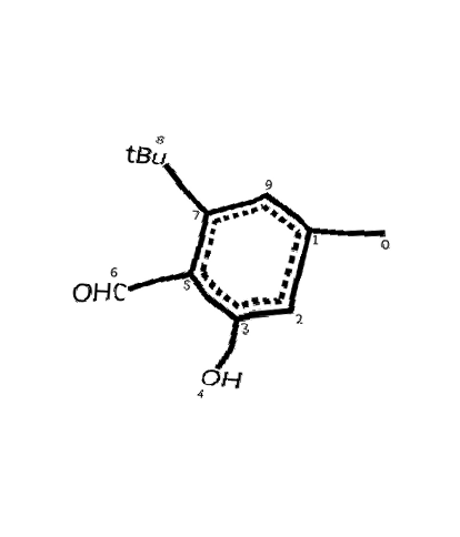 Cc1cc(O)c(C=O)c(C(C)(C)C)c1